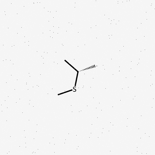 [CH2][C@@H](C)SC